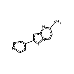 Nc1ccn2nc(-c3ccncc3)cc2n1